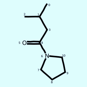 CC(C)CC(=O)N1CCCC1